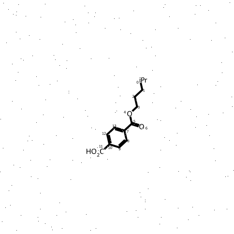 CC(C)CCCOC(=O)c1ccc(C(=O)O)cc1